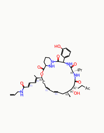 C=CCNC(=O)/C=C/C=C(\C)[C@@H]1C/C=C/C=C/C[C@H](C)[C@@H](O)[C@@H](CCC(C)=O)C(=O)N[C@@H](C(C)C)C(=O)NC(c2cccc(O)c2)C(=O)N2CCCC(N2)C(=O)O1